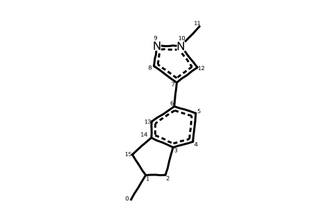 CC1Cc2ccc(-c3cnn(C)c3)cc2C1